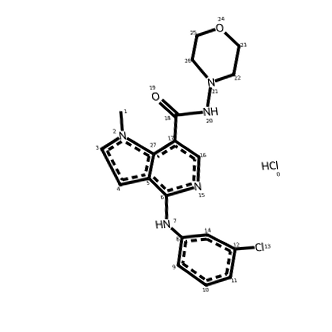 Cl.Cn1ccc2c(Nc3cccc(Cl)c3)ncc(C(=O)NN3CCOCC3)c21